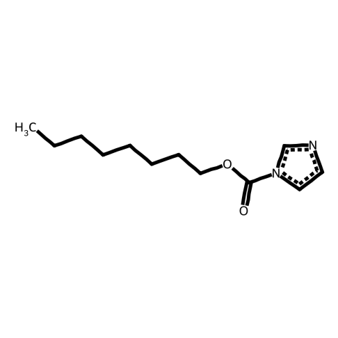 CCCCCCCCOC(=O)n1ccnc1